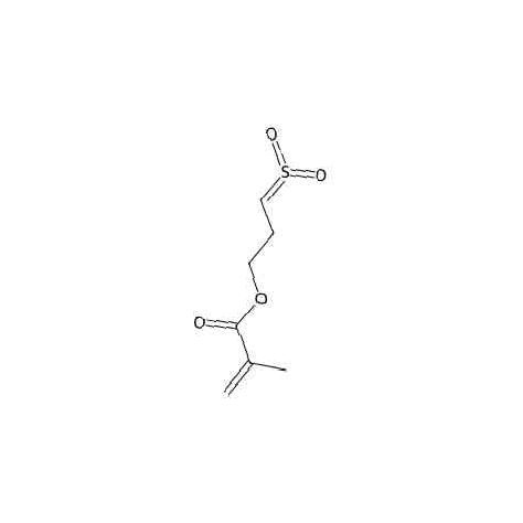 C=C(C)C(=O)OCCC=S(=O)=O